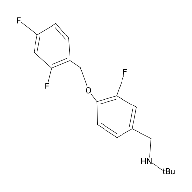 CC(C)(C)NCc1ccc(OCc2ccc(F)cc2F)c(F)c1